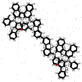 Cc1ccccc1N(c1cccc2c1oc1ccccc12)c1cc2ccccc2c2c1oc1c(N(c3ccccc3C)c3cccc4c3oc3ccc(C5=CC6c7cccc(N(c8ccccc8)c8cc9ccccc9c9c8oc8c(N(c%10ccccc%10)c%10cccc%11c%10oc%10ccccc%10%11)cc%10ccccc%10c89)c7OC6C=C5)cc34)cc3ccccc3c12